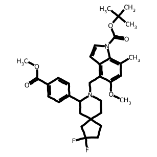 COC(=O)c1ccc(C2CC3(CCN2Cc2c(OC)cc(C)c4c2ccn4C(=O)OC(C)(C)C)CCC(F)(F)C3)cc1